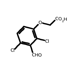 O=Cc1c(Cl)ccc(OCC(=O)O)c1Cl